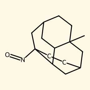 CC12CCC3CC1C1CC(CCC1(N=O)C3)C2